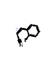 N#C/C=C\c1ccccc1I